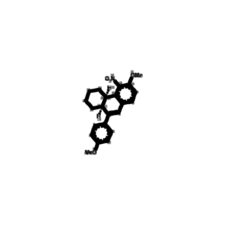 COc1ccc(C2=Cc3ccc(OC)c([N+](=O)[O-])c3[C@@H]3CCCC[C@H]23)cc1